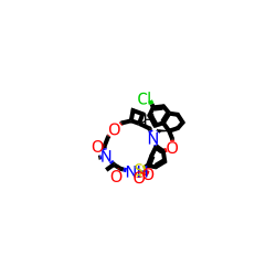 CC1C(=O)NS(=O)(=O)c2ccc3c(c2)N(C[C@@H]2CCC2COCC(=O)N1C)C[C@@]1(CCCc2cc(Cl)ccc21)CO3